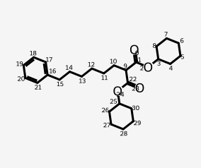 O=C(OC1CCCCC1)C(CCCCCCc1ccccc1)C(=O)OC1CCCCC1